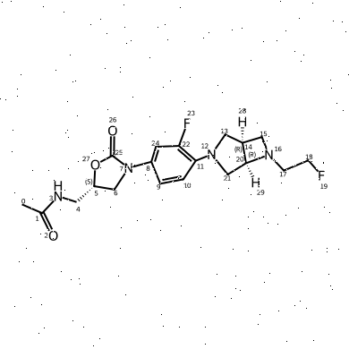 CC(=O)NC[C@H]1CN(c2ccc(N3C[C@H]4CN(CCF)[C@H]4C3)c(F)c2)C(=O)O1